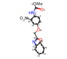 COC(=O)Nc1ccc(OCc2nc3ccccc3o2)cc1[N+](=O)[O-]